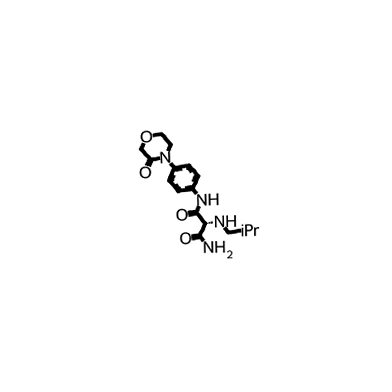 CC(C)CN[C@H](C(N)=O)C(=O)Nc1ccc(N2CCOCC2=O)cc1